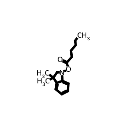 CCCCCC(=O)ON1CC(C)(C)c2ccccc21